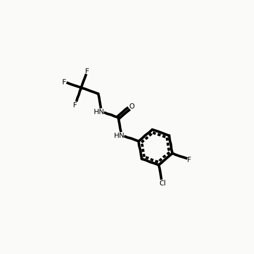 O=C(NCC(F)(F)F)Nc1ccc(F)c(Cl)c1